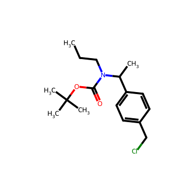 CCCN(C(=O)OC(C)(C)C)C(C)c1ccc(CCl)cc1